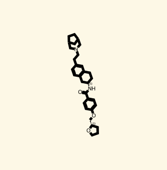 O=C(N[C@H]1CCc2cc(CCN3CC4CCC(C4)C3)ccc2C1)c1ccc(OC[C@@H]2CCCO2)cc1